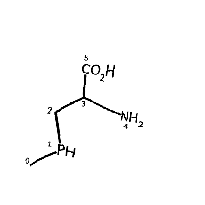 CPCC(N)C(=O)O